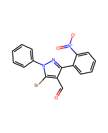 O=Cc1c(-c2ccccc2[N+](=O)[O-])nn(-c2ccccc2)c1Br